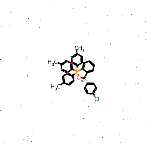 Cc1ccc(P2(c3ccc(C)cc3)(c3ccc(C)cc3)O[C@@H](c3ccc(Cl)cc3)c3ccccc32)cc1